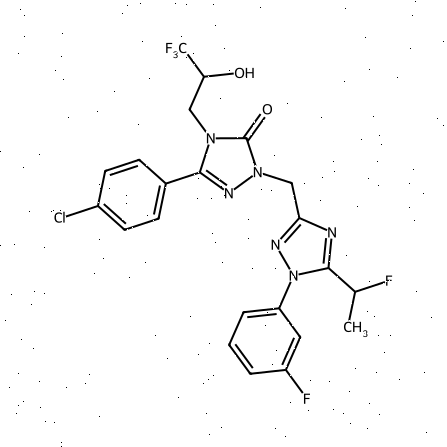 CC(F)c1nc(Cn2nc(-c3ccc(Cl)cc3)n(CC(O)C(F)(F)F)c2=O)nn1-c1cccc(F)c1